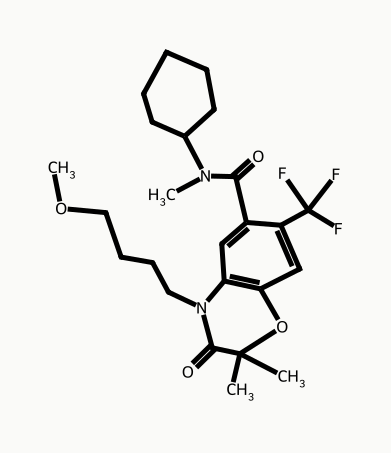 COCCCCN1C(=O)C(C)(C)Oc2cc(C(F)(F)F)c(C(=O)N(C)C3CCCCC3)cc21